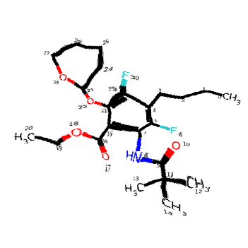 CCCCc1c(F)c(NC(=O)C(C)(C)C)c(C(=O)OCC)c(OC2CCCCO2)c1F